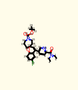 CCN(CC)C(=O)c1ccc(C2=CC3(CCCN(C(=O)OC(C)(C)C)CC3)Oc3ccc(F)cc32)cn1